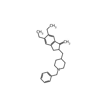 C=C1c2cc(CC)c(CC)cc2CC1CC1CCN(Cc2ccccc2)CC1